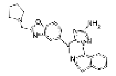 Nc1nc(Nc2ccc3oc(CN4CCCC4)nc3c2)n(-c2nccc3ccccc23)n1